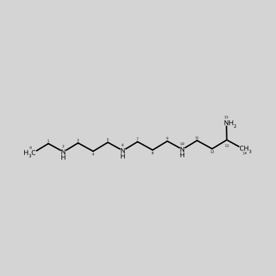 CCNCCCNCCCNCCC(C)N